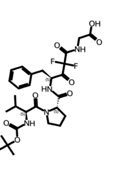 CC(C)[C@H](NC(=O)OC(C)(C)C)C(=O)N1CCC[C@H]1C(=O)N[C@@H](Cc1ccccc1)C(=O)C(F)(F)C(=O)NCC(=O)O